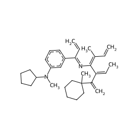 C=C\C(=N/C(C(=C\C)/C(=C)C1(C)CCCCC1)=C(\C)C=C)c1cccc(N(C)C2CCCC2)c1